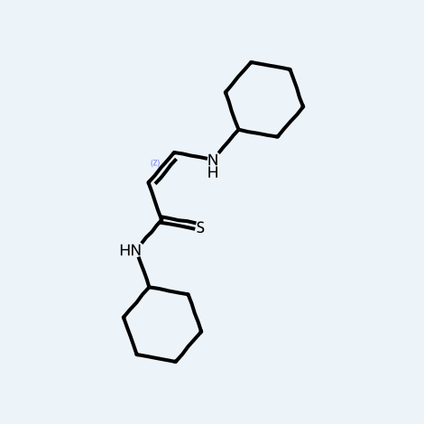 S=C(/C=C\NC1CCCCC1)NC1CCCCC1